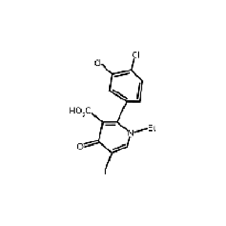 CCn1cc(I)c(=O)c(C(=O)O)c1-c1ccc(Cl)c(Cl)c1